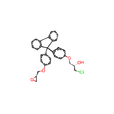 O[C@H](CCl)COc1ccc(C2(c3ccc(OC[C@H]4CO4)cc3)c3ccccc3-c3ccccc32)cc1